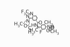 Cc1cc([C@@H](C)NC(=O)c2ccc3nc(C(F)(F)F)nc(N4CC(C)OC(C)C4)c3c2)c(F)cc1NS(C)(=O)=O